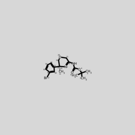 CC(C)(C)OC(=O)NC1=N[C@@](C)(c2cccc(Br)c2)COC1